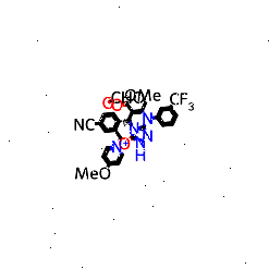 COC(=O)C1=C(C)N(c2cccc(C(F)(F)F)c2)c2n[nH]c(=O)n2[C@@H]1c1ccc(C#N)cc1C[n+]1ccc(OC)cc1.O=C[O-]